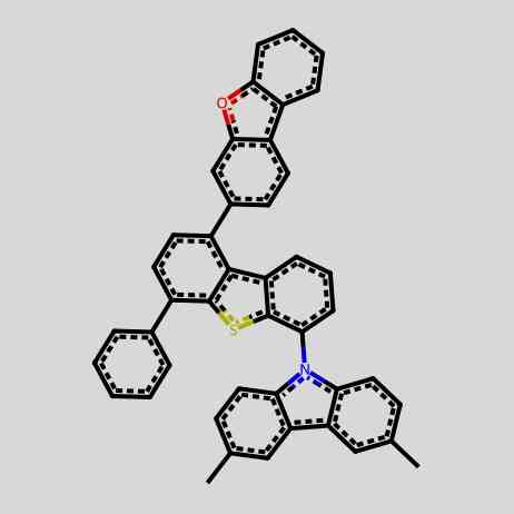 Cc1ccc2c(c1)c1cc(C)ccc1n2-c1cccc2c1sc1c(-c3ccccc3)ccc(-c3ccc4c(c3)oc3ccccc34)c12